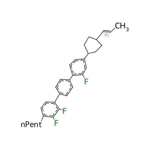 C/C=C/C1CCC(c2ccc(-c3ccc(-c4ccc(CCCCC)c(F)c4F)cc3)c(F)c2)CC1